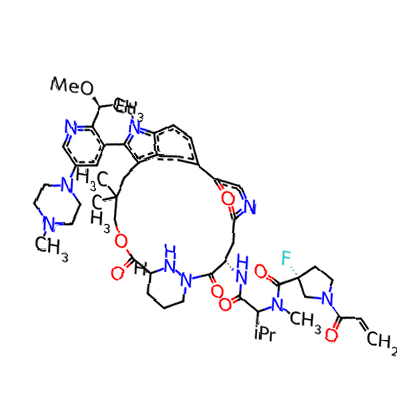 C=CC(=O)N1CC[C@](F)(C(=O)N(C)C(C(=O)N[C@H]2Cc3ncc(o3)-c3ccc4c(c3)c(c(-c3cc(N5CCN(C)CC5)cnc3[C@H](C)OC)n4CC)CC(C)(C)COC(=O)[C@@H]3CCCN(N3)C2=O)C(C)C)C1